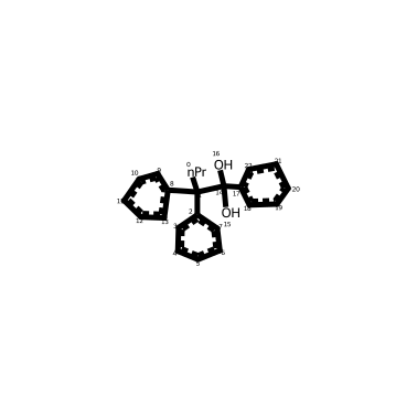 CCCC(c1ccccc1)(c1ccccc1)C(O)(O)c1ccccc1